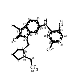 Cn1c(=O)n(C[C@@H]2CCCN2CC(F)(F)F)c2cc(Nc3nc(Cl)ncc3Cl)ccc21